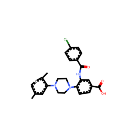 Cc1ccc(C)c(N2CCN(c3ccc(C(=O)O)cc3NC(=O)c3ccc(Cl)cc3)CC2)c1